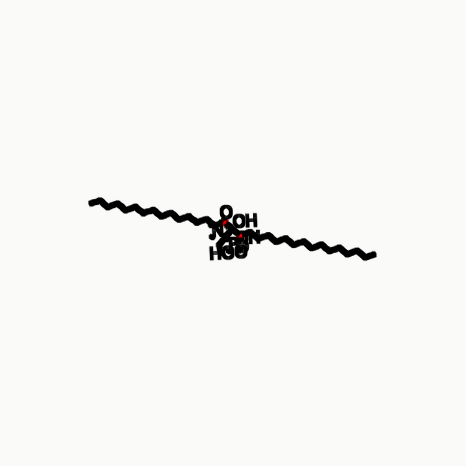 CCCCCCCCCCCCCCCC(=O)C(O)(C(=O)CCCCCCCCCCCCCCC)C(CC)([N+](C)(C)C)P(=O)(O)O